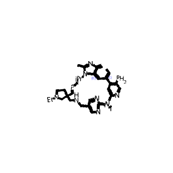 C=c1nc(C)n(C(C)C)/c1=C/C(=C\C)c1cc(N(I)c2ncc(CNCC3(C=PI)CCN(CC)C3)cn2)ncc1P